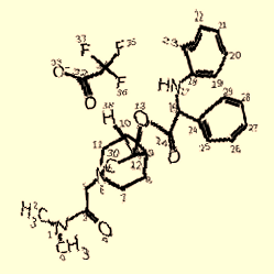 CN(C)C(=O)C[N+]12CCC(CC1)[C@@H](OC(=O)C(Nc1ccccc1)c1ccccc1)C2.O=C([O-])C(F)(F)F